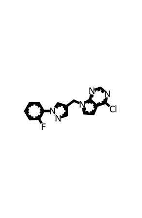 Fc1ccccc1-n1cc(Cn2ccc3c(Cl)ncnc32)cn1